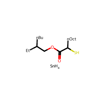 CCCCCCCCC(S)C(=O)OCC(CC)CCCC.[SnH4]